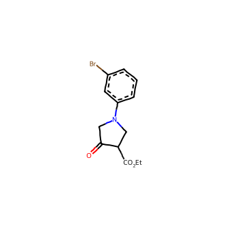 CCOC(=O)C1CN(c2cccc(Br)c2)CC1=O